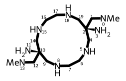 CNC[C@]1(N)CNCCNC[C@](N)(CNC)CNCCNC1